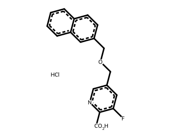 Cl.O=C(O)c1ncc(COCc2ccc3ccccc3c2)cc1F